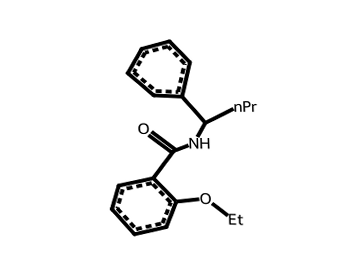 CCCC(NC(=O)c1ccccc1OCC)c1ccccc1